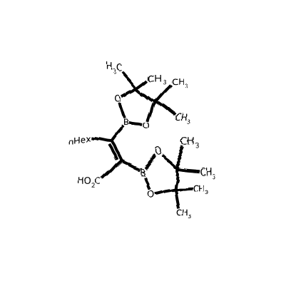 CCCCCC/C(B1OC(C)(C)C(C)(C)O1)=C(/B1OC(C)(C)C(C)(C)O1)C(=O)O